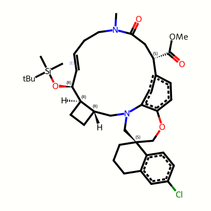 COC(=O)[C@H]1CC(=O)N(C)CC/C=C/[C@H](O[Si](C)(C)C(C)(C)C)[C@@H]2CC[C@H]2CN2C[C@@]3(CCCc4cc(Cl)ccc43)COc3ccc1cc32